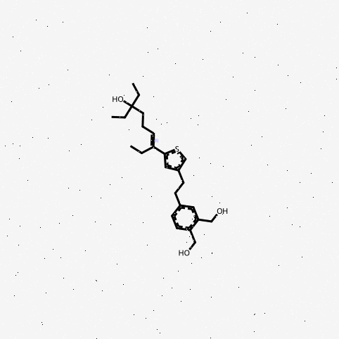 CC/C(=C\CCC(O)(CC)CC)c1cc(CCc2ccc(CO)c(CO)c2)cs1